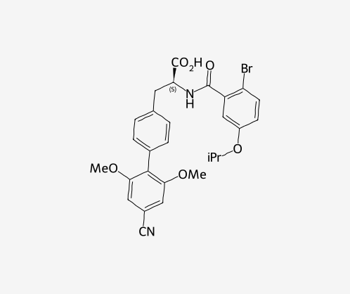 COc1cc(C#N)cc(OC)c1-c1ccc(C[C@H](NC(=O)c2cc(OC(C)C)ccc2Br)C(=O)O)cc1